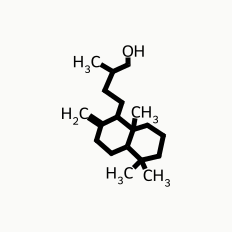 C=C1CCC2C(C)(C)CCCC2(C)C1CCC(C)CO